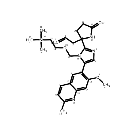 C=CCC1(c2ncc(-c3cc4ccc(C)nc4cc3OC)n2COCC[Si](C)(C)C)CCC(=O)N1